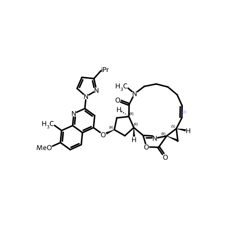 COc1ccc2c(O[C@H]3C[C@H]4C(=O)N(C)CCCC/C=C\[C@@H]5C[C@@]56N=C(OC6=O)[C@@H]4C3)cc(-n3ccc(C(C)C)n3)nc2c1C